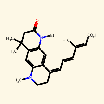 CCN1C(=O)CC(C)(C)c2cc3c(cc21)\C(=C/C=C/C(C)=C/C(=O)O)CCN3C